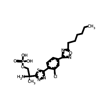 CCCCCCc1nc(-c2ccc(-c3nnc([C@@](C)(N)COP(=O)(O)O)s3)c(Cl)c2)no1